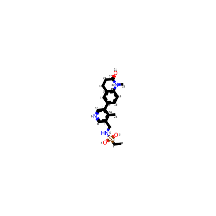 CCS(=O)(=O)NCc1cncc(-c2ccc3c(c2)CCC(=O)N3C)c1C